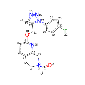 CC(=O)N1CCc2ccc(OCc3c(C)nnn3-c3ccc(F)cc3)nc2C1